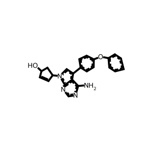 Nc1ncnc2c1c(-c1ccc(Oc3ccccc3)cc1)cn2C1C=CC(O)C1